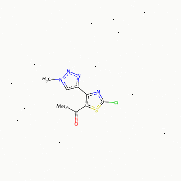 COC(=O)c1sc(Cl)nc1-c1cn(C)nn1